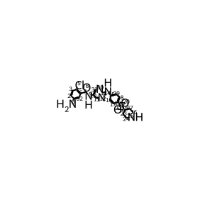 Nc1ccc(Cl)c(C(=O)Nc2cnc(Nc3ccc(S(=O)(=O)C4CCNCC4)cc3)nc2)c1